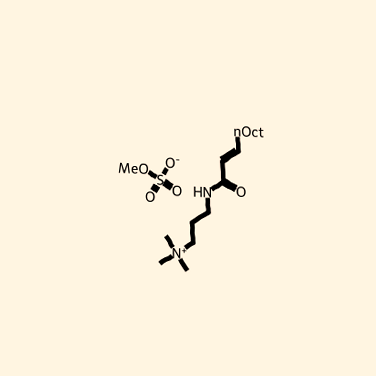 CCCCCCCCC=CC(=O)NCCC[N+](C)(C)C.COS(=O)(=O)[O-]